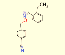 CCc1ccccc1/[C]=N\OCc1ccc(C#N)cc1